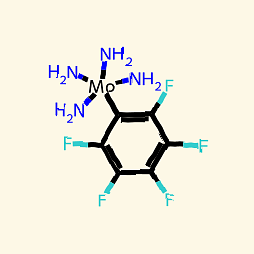 [NH2][Mo]([NH2])([NH2])([NH2])[c]1c(F)c(F)c(F)c(F)c1F